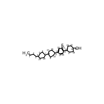 C=CCCC1CCC(C2CCC(c3ccc(C4CCC(O)CC4)c(F)c3)CC2)CC1